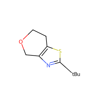 CC(C)(C)c1nc2c(s1)CCOC2